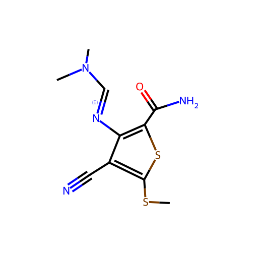 CSc1sc(C(N)=O)c(/N=C/N(C)C)c1C#N